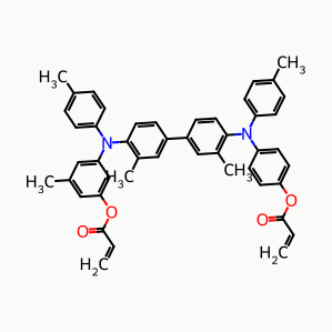 C=CC(=O)Oc1ccc(N(c2ccc(C)cc2)c2ccc(-c3ccc(N(c4ccc(C)cc4)c4cc(C)cc(OC(=O)C=C)c4)c(C)c3)cc2C)cc1